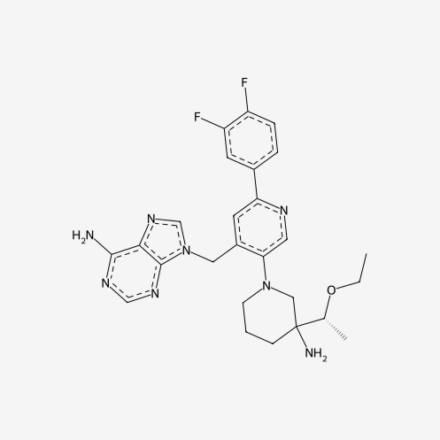 CCO[C@H](C)C1(N)CCCN(c2cnc(-c3ccc(F)c(F)c3)cc2Cn2cnc3c(N)ncnc32)C1